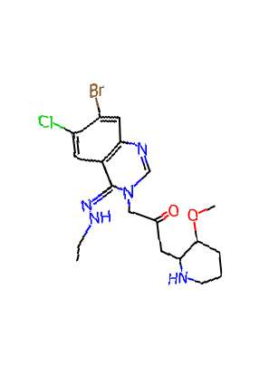 CCNN=c1c2cc(Cl)c(Br)cc2ncn1CC(=O)CC1NCCCC1OC